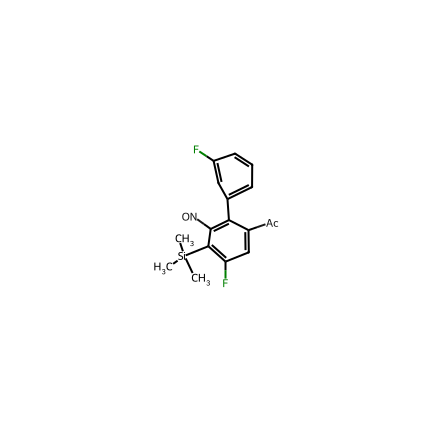 CC(=O)c1cc(F)c([Si](C)(C)C)c(N=O)c1-c1cccc(F)c1